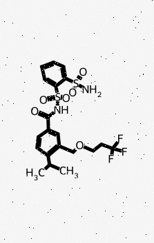 CC(C)c1ccc(C(=O)NS(=O)(=O)c2ccccc2S(N)(=O)=O)cc1COCCC(F)(F)F